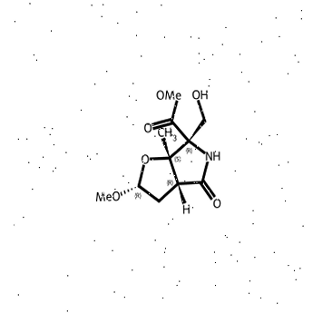 COC(=O)[C@]1(CO)NC(=O)[C@@H]2C[C@H](OC)O[C@@]21C